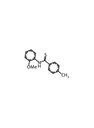 COc1ccccc1NC(=S)c1ccc(C)cc1